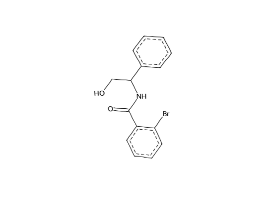 O=C(NC(CO)c1ccccc1)c1ccccc1Br